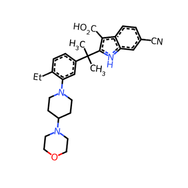 CCc1ccc(C(C)(C)c2[nH]c3cc(C#N)ccc3c2C(=O)O)cc1N1CCC(N2CCOCC2)CC1